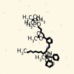 CCCCCCCCC(/C=C/c1cccc(C(CCCCO[Si](C)(C)C(C)(C)C)OC(C)=O)c1)O[Si](c1ccccc1)(c1ccccc1)C(C)(C)C